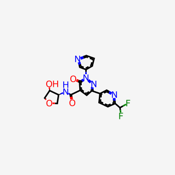 O=C(N[C@H]1COC[C@H]1O)c1cc(-c2ccc(C(F)F)nc2)nn(-c2cccnc2)c1=O